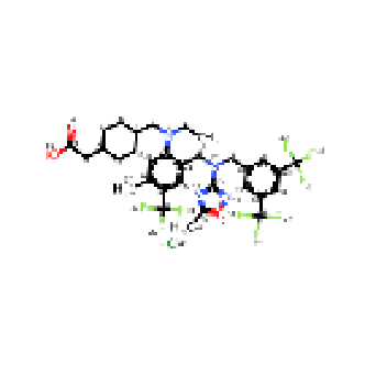 CCN(CC1CCC(CC(=O)O)CC1)c1cc(C)c(C(F)(F)F)cc1CN(Cc1cc(C(F)(F)F)cc(C(F)(F)F)c1)c1noc(C)n1.Cl